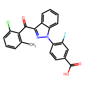 Cc1cccc(Cl)c1C(=O)c1nn(-c2ccc(C(=O)O)cc2F)c2ccccc12